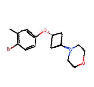 Cc1cc(O[C@H]2C[C@H](N3CCOCC3)C2)ccc1Br